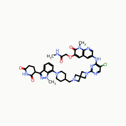 CNC(=O)COc1cc2cc(Nc3nc(N4CC5(CN(CC6CCN(c7cccc8c(C9CCC(=O)NC9=O)nn(C)c78)CC6)C5)C4)ncc3Cl)cnc2n(C)c1=O